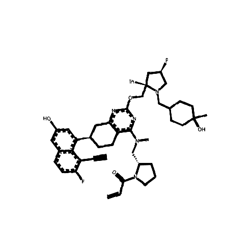 C#Cc1c(F)ccc2cc(O)cc([C@@H]3CCc4c(nc(OC[C@]5(C(C)C)C[C@@H](F)CN5CC5CCC(C)(O)CC5)nc4N(C)C[C@@H]4CCCN4C(=O)C=C)C3)c12